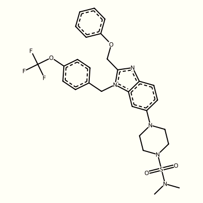 CN(C)S(=O)(=O)N1CCN(c2ccc3nc(COc4ccccc4)n(Cc4ccc(OC(F)(F)F)cc4)c3c2)CC1